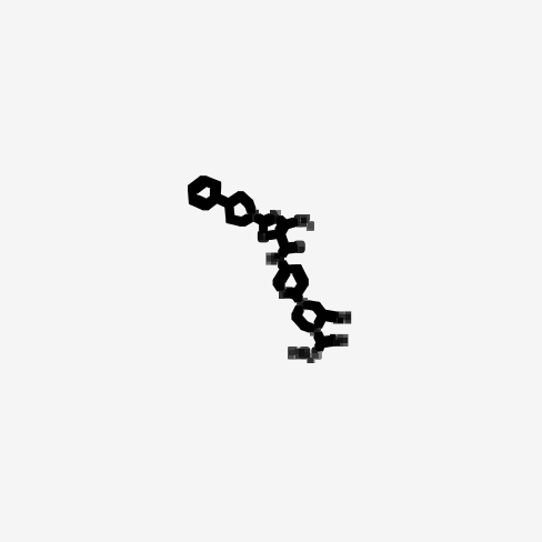 CCOC(=O)C(=N)N1CCN(c2ccc(NC(=O)c3oc(N4CCC(c5ccccc5)CC4)nc3C(F)(F)F)cn2)CC1=N